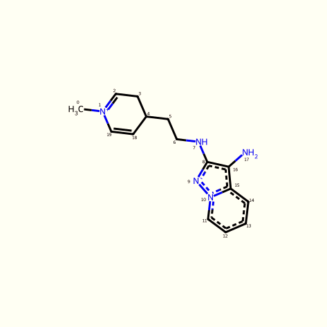 C[N+]1=CCC(CCNc2nn3ccccc3c2N)C=C1